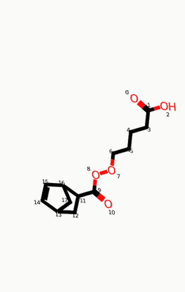 O=C(O)CC[CH]COOC(=O)C1CC2C=CC1C2